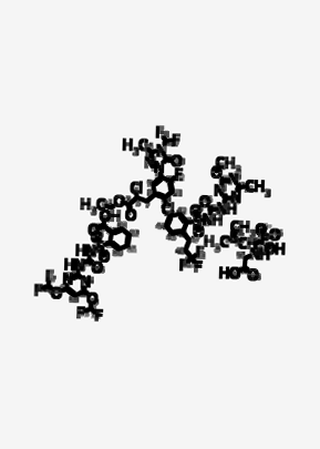 CCOC(=O)C(Cl)Cc1cc(-n2nc(C)n(C(F)F)c2=O)c(F)cc1Cl.COc1nc(C)nc(NC(=O)NS(=O)(=O)c2ccccc2CCC(F)(F)F)n1.C[S+](C)C.O=C(Nc1nc(OC(F)F)cc(OC(F)F)n1)NS(=O)(=O)c1ccccc1C(=O)O.O=C(O)CNCP(=O)([O-])O